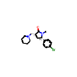 CN1C(=O)[C@@H](CN2CCCCC2)C[C@H]1c1ccc(Br)cc1